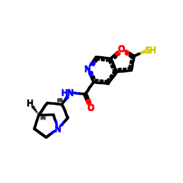 O=C(N[C@@H]1C[C@@H]2CCN(C2)C1)c1cc2cc(S)oc2cn1